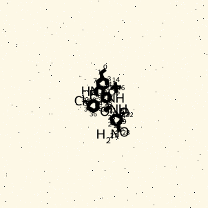 CCc1ccc2c(c1)NC[C@@]21[C@H](CC(C)(C)C)N[C@@H](C(=O)Nc2ccc(C(N)=O)cc2OC)[C@@H]1c1cccc(Cl)c1F